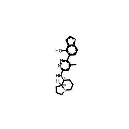 Cc1cc(N[C@H]2CCCN3CCC[C@H]23)nnc1-c1ccc2sccc2c1O